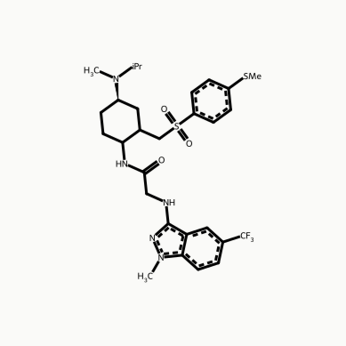 CSc1ccc(S(=O)(=O)CC2C[C@H](N(C)C(C)C)CCC2NC(=O)CNc2nn(C)c3ccc(C(F)(F)F)cc23)cc1